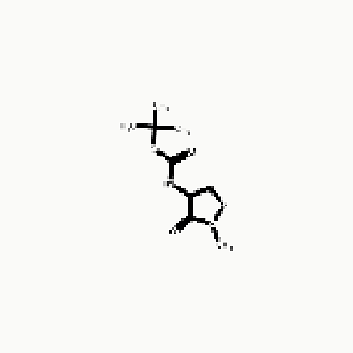 CN1OCC(NC(=O)OC(C)(C)C)C1=O